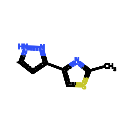 Cc1nc(-c2c[c][nH]n2)cs1